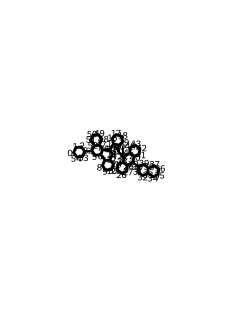 c1ccc(-c2cc3c4ccccc4c4c(c5ccccc5n4-c4c5ccccc5c(-c5ccc6ccccc6c5)c5ccccc45)c3c3ccccc23)cc1